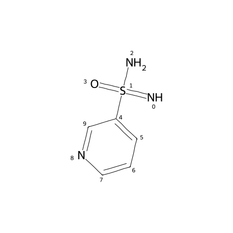 N=S(N)(=O)c1cccnc1